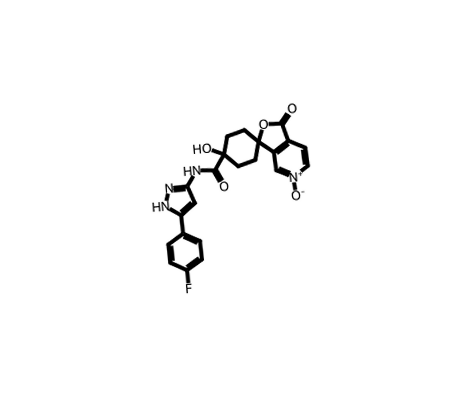 O=C1OC2(CCC(O)(C(=O)Nc3cc(-c4ccc(F)cc4)[nH]n3)CC2)c2c[n+]([O-])ccc21